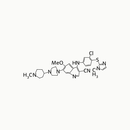 COc1cc2c(Nc3ccc(Sc4nccn4C)c(Cl)c3)c(C#N)cnc2cc1N1CCN(C2CCN(C)CC2)CC1